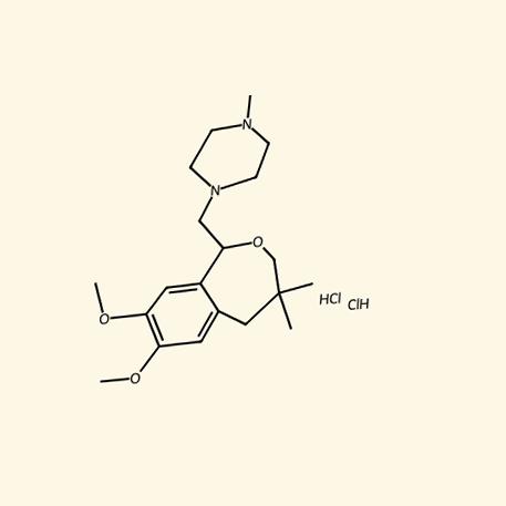 COc1cc2c(cc1OC)C(CN1CCN(C)CC1)OCC(C)(C)C2.Cl.Cl